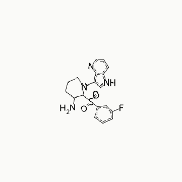 NC1CCCN(c2c[nH]c3cccnc23)C1S(=O)(=O)c1cccc(F)c1